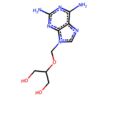 Nc1nc(N)c2ncn(COC(CO)CO)c2n1